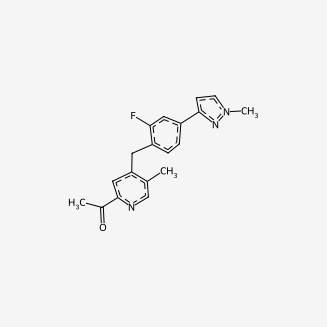 CC(=O)c1cc(Cc2ccc(-c3ccn(C)n3)cc2F)c(C)cn1